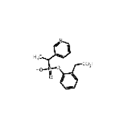 CC(c1cccnc1)P(=O)(O)Oc1ccccc1CC(=O)O